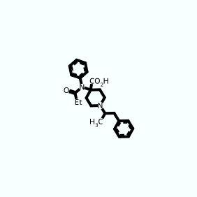 CCC(=O)N(c1ccccc1)C1(C(=O)O)CCN(C(C)Cc2ccccc2)CC1